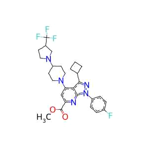 COC(=O)c1cc(N2CCC(N3CCC(C(F)(F)F)C3)CC2)c2c(C3CCC3)nn(-c3ccc(F)cc3)c2n1